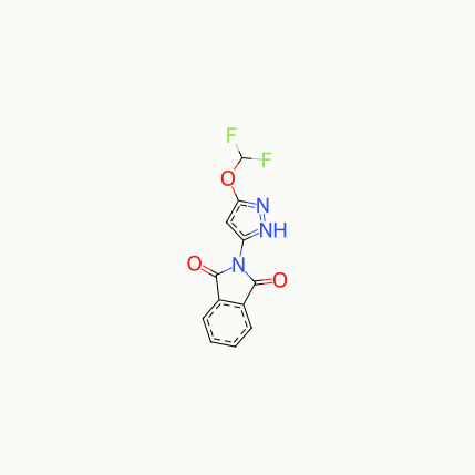 O=C1c2ccccc2C(=O)N1c1cc(OC(F)F)n[nH]1